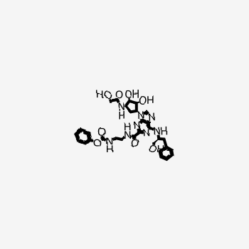 O=C(CO)N[C@H]1C[C@@H](n2cnc3c(N[C@H](CO)Cc4ccccc4)nc(C(=O)NCCNC(=O)Oc4ccccc4)nc32)[C@H](O)[C@@H]1O